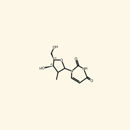 CC1C(n2ccc(=O)[nH]c2=O)O[C@H](CO)[C@@H]1O